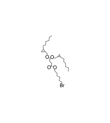 CCCCCCC1CC1COC(CCC(=O)OCCCCCCBr)OCC1CC1CCCCCC